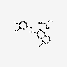 C[C@@H](Nc1nc(NCc2ccc(F)c(Cl)c2)nc2c(Br)cccc12)C(C)(C)C